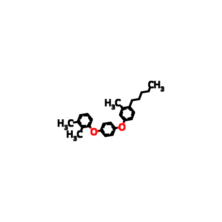 CCCCCc1ccc(Oc2ccc(Oc3cccc(C)c3C)cc2)cc1C